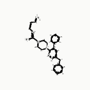 C=C/C=C\N=C(/N)N1CCN(c2nnc(Cc3ccccc3)cc2-c2ccccc2)CC1